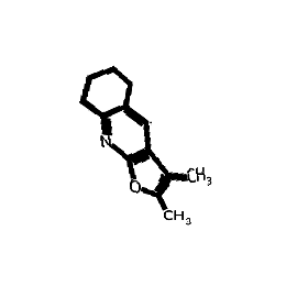 Cc1oc2nc3c([c]c2c1C)CCCC3